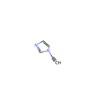 C#Cn1ccnc1